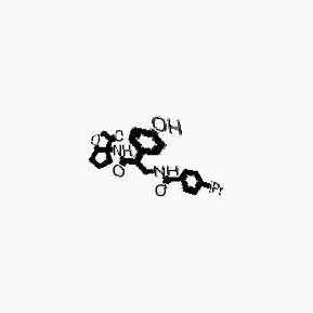 CC(C)c1ccc(C(=O)NCC(C(=O)NC23CCCC2OCC3=O)c2ccc(O)cc2)cc1